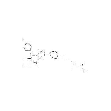 CCN(CC)CCNCCOc1ccc(-c2nnc3c(n2)c(=O)n(C)c(=O)n3-c2ccc(F)cc2)cc1